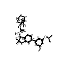 CC(C)Oc1cc(F)cc(-c2ccc3c(c2)CC(C)(C)[C@H]3NC(=O)O[C@@H]2CN3CCC2CC3)c1